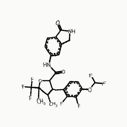 CC1C(c2ccc(OC(F)F)c(F)c2F)C(C(=O)Nc2ccc3c(c2)CNC3=O)OC1(C)C(F)(F)F